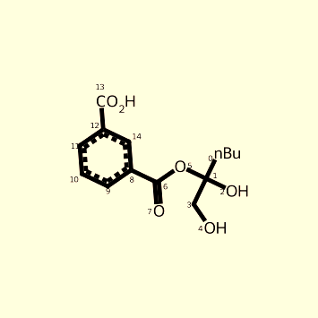 CCCCC(O)(CO)OC(=O)c1cccc(C(=O)O)c1